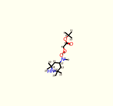 CN(OOCC(=O)OC(C)(C)C)C1CC(C)(C)NC(C)(C)C1